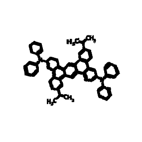 CC(C)c1ccc2c(c1)c1cc3c4ccc(N(c5ccccc5)c5ccccc5)cc4c4ccc(C(C)C)cc4c3cc1c1ccc(N(c3ccccc3)c3ccccc3)cc21